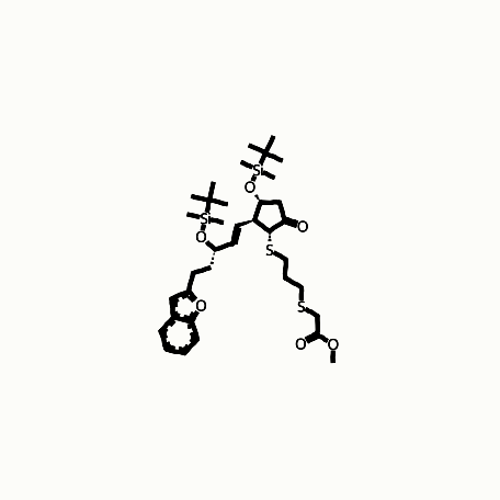 COC(=O)CSCCCS[C@H]1C(=O)C[C@@H](O[Si](C)(C)C(C)(C)C)[C@@H]1/C=C/[C@H](CCc1cc2ccccc2o1)O[Si](C)(C)C(C)(C)C